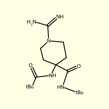 CC(C)(C)NC(=O)C1(NC(=O)C(C)(C)C)CCN(C(=N)N)CC1